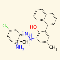 Cc1cc(N/N=C2/C=C(Cl)C=C[C@@]2(C)N)c(O)c(-c2cccc3ccccc23)c1